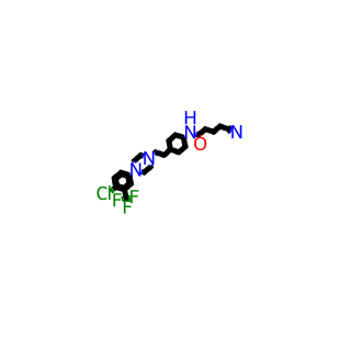 N#CCCCC(=O)NC1CCC(CCN2CCN(c3ccc(Cl)c(C(F)(F)F)c3)CC2)CC1